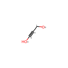 [O]CC#CO